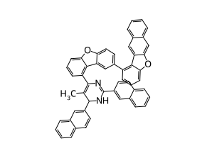 CC1=C(c2cccc3oc4ccc(-c5cccc6oc7cc8ccccc8cc7c56)cc4c23)N=C(c2ccc3ccccc3c2)NC1c1ccc2ccccc2c1